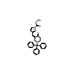 CC(C)(C)OC(=O)n1ccc(C=C2CN(C(c3ccccc3)(c3ccccc3)c3ccccc3)CCC2=O)n1